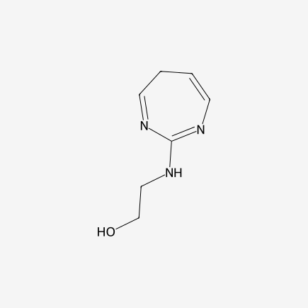 OCCNC1=NC=CCC=N1